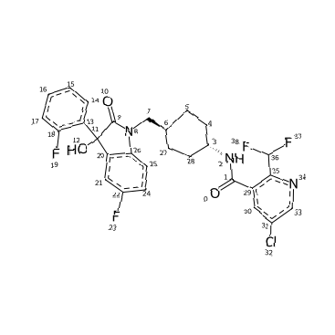 O=C(N[C@H]1CC[C@H](CN2C(=O)C(O)(c3ccccc3F)c3cc(F)ccc32)CC1)c1cc(Cl)cnc1C(F)F